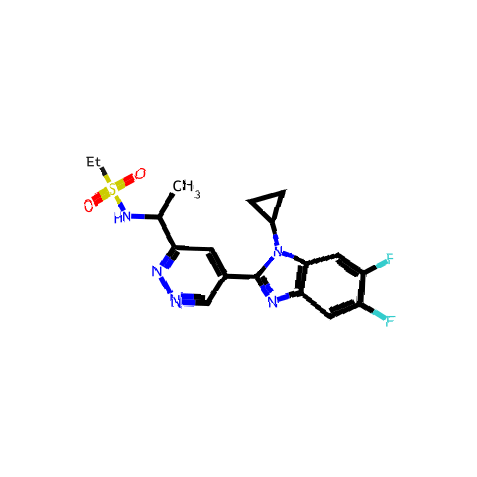 CCS(=O)(=O)NC(C)c1cc(-c2nc3cc(F)c(F)cc3n2C2CC2)cnn1